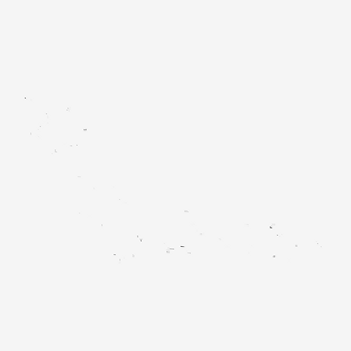 CN(c1ccc(/C=C/c2ccc(C#N)cc2)cc1)c1ccc(/C=C/c2ccc(C#N)cc2)cc1